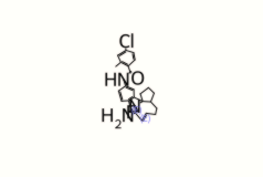 Cc1cc(Cl)ccc1C(=O)Nc1ccc(F)c(C23CCCC2CC/C=C/C(N)=N\3)c1